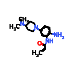 C=CC(=O)Nc1cc(N2CCC(N(C)C)CC2)ccc1N